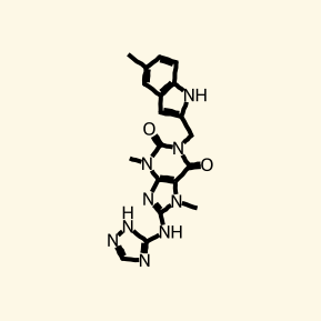 Cc1ccc2[nH]c(Cn3c(=O)c4c(nc(Nc5ncn[nH]5)n4C)n(C)c3=O)cc2c1